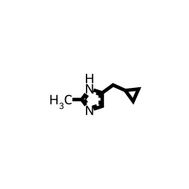 Cc1ncc(CC2CC2)[nH]1